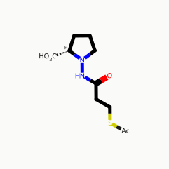 CC(=O)SCCC(=O)NN1CCC[C@H]1C(=O)O